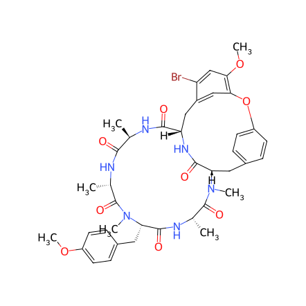 COc1ccc(C[C@H]2C(=O)N[C@@H](C)C(=O)N(C)[C@H]3Cc4ccc(cc4)Oc4cc(c(Br)cc4OC)C[C@H](NC3=O)C(=O)N[C@H](C)C(=O)N[C@@H](C)C(=O)N2C)cc1